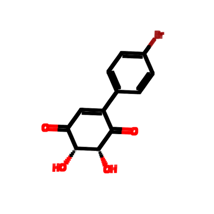 O=C1C=C(c2ccc(Br)cc2)C(=O)[C@H](O)[C@@H]1O